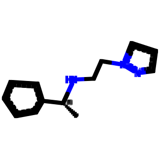 C[C@@H](NCCn1cccn1)c1ccccc1